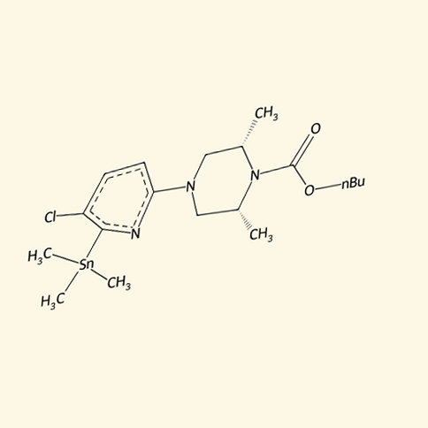 CCCCOC(=O)N1[C@H](C)CN(c2ccc(Cl)[c]([Sn]([CH3])([CH3])[CH3])n2)C[C@@H]1C